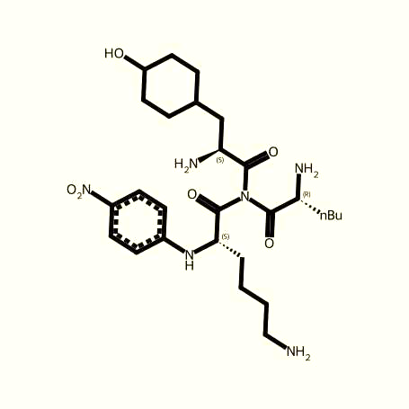 CCCC[C@@H](N)C(=O)N(C(=O)[C@H](CCCCN)Nc1ccc([N+](=O)[O-])cc1)C(=O)[C@@H](N)CC1CCC(O)CC1